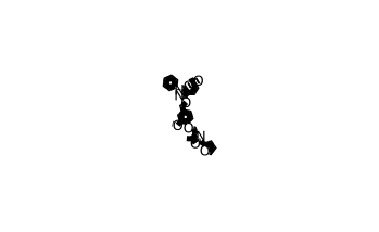 COc1cc(COc2nn(-c3ccccc3)cc2/C=C\S(C)(=O)=O)ccc1OCc1nc(-c2ccco2)oc1C